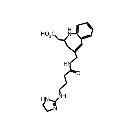 O=C(O)CC1CC(CNC(=O)CCCNC2=NCCN2)=Cc2ccccc2N1